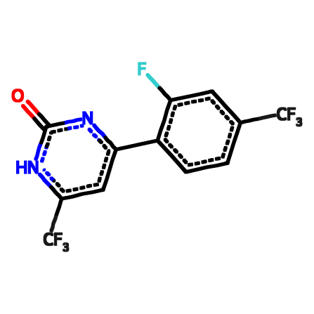 O=c1nc(-c2ccc(C(F)(F)F)cc2F)cc(C(F)(F)F)[nH]1